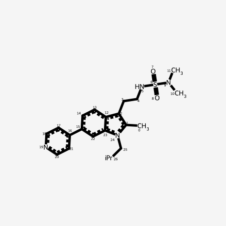 Cc1c(CCNS(=O)(=O)N(C)C)c2ccc(-c3ccncc3)cc2n1CC(C)C